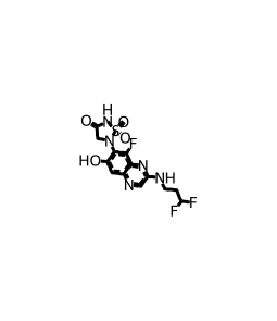 O=C1CN(c2c(O)cc3ncc(NCCC(F)F)nc3c2F)S(=O)(=O)N1